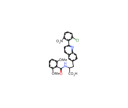 COc1cccc(OC)c1C(=O)NC(Cc1ccc2nc(-c3c(Cl)cccc3[N+](=O)[O-])ccc2c1)C(=O)O